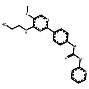 COc1cnc(-c2ccc(NC(=O)Nc3ccccn3)cc2)nc1NCCO